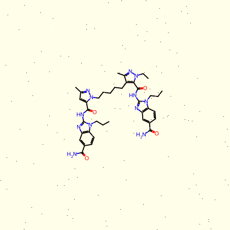 CCCn1c(NC(=O)c2cc(C)nn2CCCCCc2c(C)nn(CC)c2C(=O)Nc2nc3cc(C(N)=O)ccc3n2CCC)nc2cc(C(N)=O)ccc21